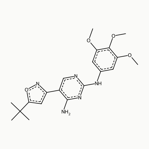 COc1cc(Nc2ncc(-c3cc(C(C)(C)C)on3)c(N)n2)cc(OC)c1OC